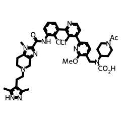 COc1nc(-c2ccnc(-c3cccc(NC(=O)c4nc5c(n4C)CCN(CCc4c(C)n[nH]c4C)C5)c3Cl)c2Cl)ccc1CN(C(=O)O)C1CCN(C(C)=O)CC1